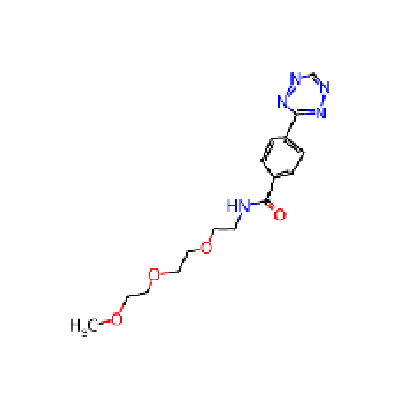 COCCOCCOCCNC(=O)c1ccc(-c2nncnn2)cc1